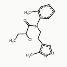 CCC(Cl)C(=O)N(CCc1nonc1C)c1ccccc1C